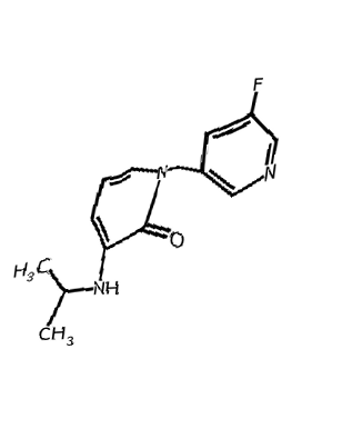 CC(C)Nc1cccn(-c2cncc(F)c2)c1=O